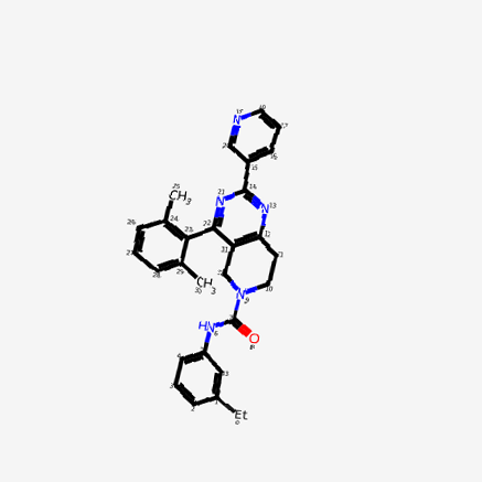 CCc1cccc(NC(=O)N2CCc3nc(-c4cccnc4)nc(-c4c(C)cccc4C)c3C2)c1